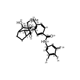 COC[C@]1(O)CC2CCC(C1O)[C@H]2S(=O)(=O)c1cc(C(=O)Nc2cc(F)c(F)c(F)c2)ccc1Cl